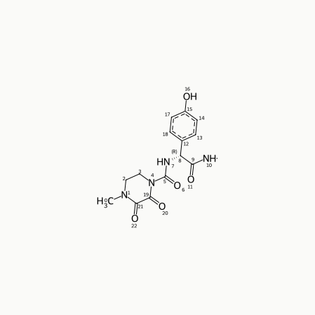 CN1CCN(C(=O)N[C@@H](C([NH])=O)c2ccc(O)cc2)C(=O)C1=O